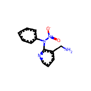 NCc1cccnc1N(c1ccccc1)[N+](=O)[O-]